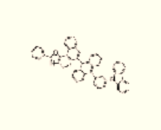 c1ccc(-c2nc3ccc4c(-c5c6ccccc6c(-c6cccc(-n7c8ccccc8c8ccccc87)c6)c6ccccc56)cc5ccccc5c4c3o2)cc1